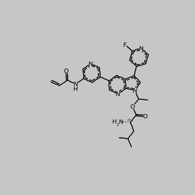 C=CC(=O)Nc1cncc(-c2cnc3c(c2)c(-c2ccnc(F)c2)cn3C(C)OC(=O)[C@@H](N)CC(C)C)c1